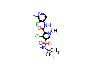 C[C@@H](NS(=O)(=O)c1cn(C)c(C(=O)Nc2ccnc(F)c2F)c1Cl)C(F)(F)F